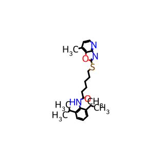 Cc1ccnc2nc(SCCCCCC(=O)Nc3c(C(C)C)cccc3C(C)C)oc12